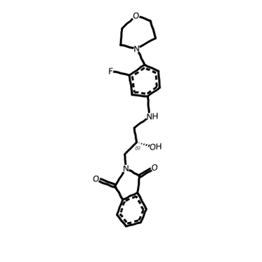 O=C1c2ccccc2C(=O)N1C[C@@H](O)CNc1ccc(N2CCOCC2)c(F)c1